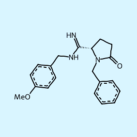 COc1ccc(CNC(=N)[C@@H]2CCC(=O)N2Cc2ccccc2)cc1